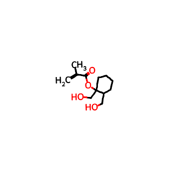 C=C(C)C(=O)OC1(CO)CCCCC1CO